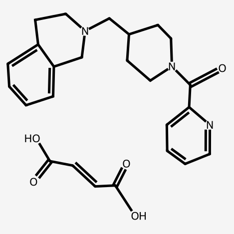 O=C(O)/C=C/C(=O)O.O=C(c1ccccn1)N1CCC(CN2CCc3ccccc3C2)CC1